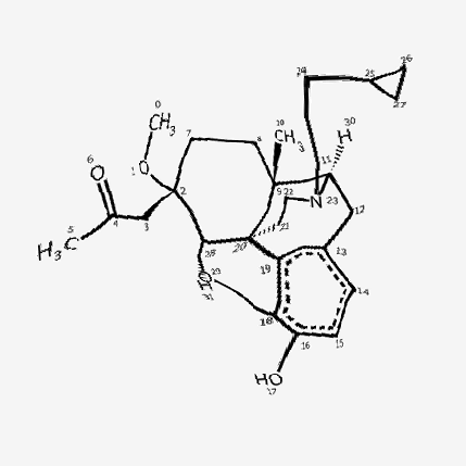 CO[C@]1(CC(C)=O)CC[C@]2(C)[C@H]3Cc4ccc(O)c5c4[C@@]2(CCN3CC2CC2)[C@H]1O5